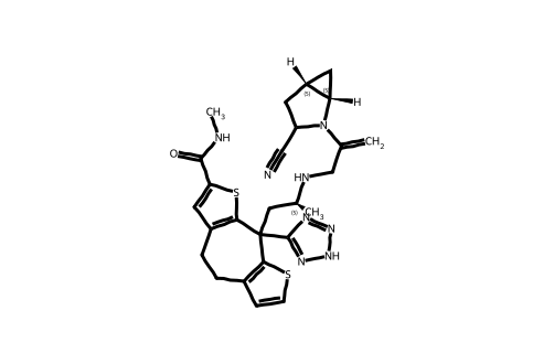 C=C(CN[C@@H](C)CC1(c2nn[nH]n2)c2sccc2CCc2cc(C(=O)NC)sc21)N1C(C#N)C[C@@H]2C[C@@H]21